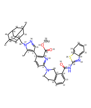 Cc1c(-c2ccc(N3CCc4cccc(C(=O)Nc5nc6ccccc6s5)c4C3)nc2C(=O)OC(C)(C)C)cnn1CC12CC3CC(C)(CC(C)(C3)C1)C2